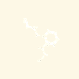 O=COCc1ccccc1OCF